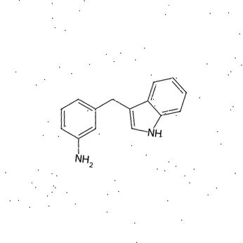 Nc1cccc(Cc2c[nH]c3ccccc23)c1